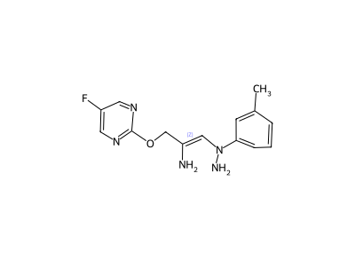 Cc1cccc(N(N)/C=C(\N)COc2ncc(F)cn2)c1